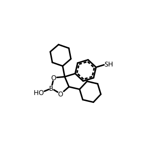 OB1OC(C2CCCCC2)C(c2ccc(S)cc2)(C2CCCCC2)O1